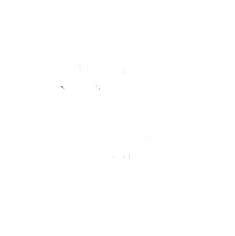 CC1(C)C(C=C(Cl)Cl)C1(Cc1cccc(Oc2ccccc2)c1)C(=O)O.CC1(C)[C@@H](C=C(Cl)Cl)[C@@]1(C#N)Cc1cccc(Oc2ccccc2)c1